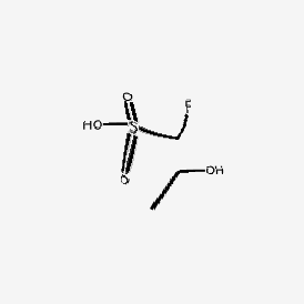 CCO.O=S(=O)(O)CF